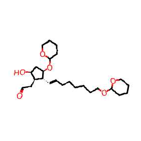 O=CC[C@@H]1[C@@H](C=CCCCCCCOC2CCCCO2)[C@H](OC2CCCCO2)C[C@@H]1O